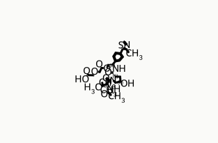 CC(=O)N[C@H](C(=O)N1C[C@H](O)C[C@H]1C(=O)N[C@@H](COC(=O)COCC(=O)O)c1ccc(-c2scnc2C)cc1)C(C)(C)C